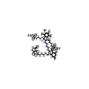 CC1(CCCCS(=O)(=O)O)C(/C=C/C=C/C=C2/N(CCCCCC(=O)ON3C(=O)CCC3=O)c3cc(F)cc(F)c3C2(C)C)=[N+](CCCCS(=O)(=O)O)c2c(F)c(F)c(F)c(F)c21